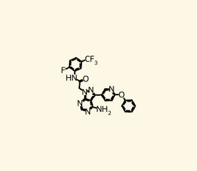 Nc1ncnc2c1c(-c1ccc(Oc3ccccc3)nc1)nn2CC(=O)Nc1cc(C(F)(F)F)ccc1F